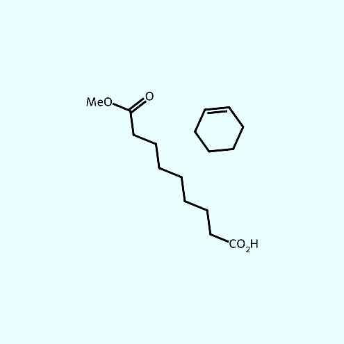 C1=CCCCC1.COC(=O)CCCCCCCC(=O)O